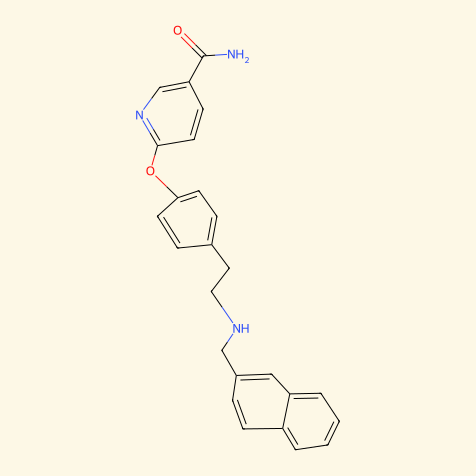 NC(=O)c1ccc(Oc2ccc(CCNCc3ccc4ccccc4c3)cc2)nc1